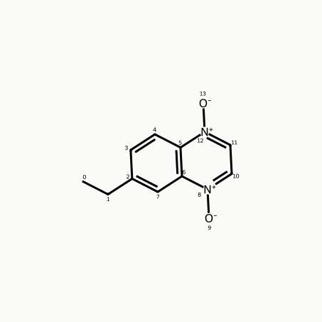 CCc1ccc2c(c1)[n+]([O-])cc[n+]2[O-]